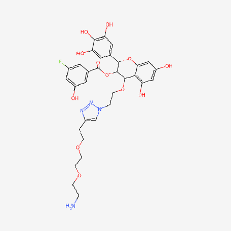 NCCOCCOCCc1cn(CCOC2c3c(O)cc(O)cc3OC(c3cc(O)c(O)c(O)c3)C2OC(=O)c2cc(O)cc(F)c2)nn1